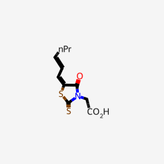 CCCC=CC=C1SC(=S)N(CC(=O)O)C1=O